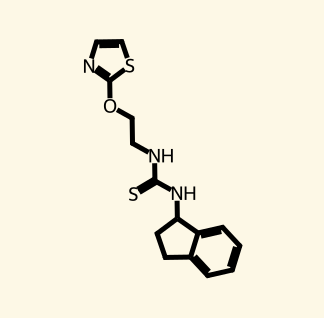 S=C(NCCOc1nccs1)NC1CCc2ccccc21